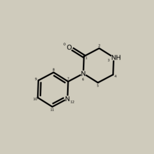 O=C1CNCCN1c1ccccn1